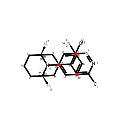 Nc1nnc(Cl)cc1N1C[C@H]2CCC[C@@H](C1)N2c1cccc(O)c1